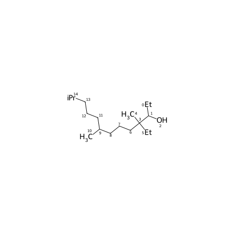 CCC(O)C(C)(CC)CCCC(C)CCCC(C)C